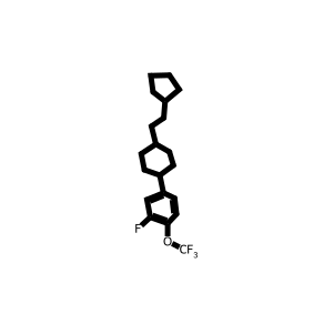 Fc1cc(C2CCC(CCC3CCCC3)CC2)ccc1OC(F)(F)F